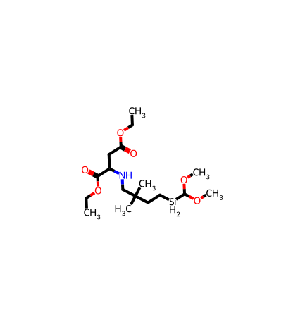 CCOC(=O)CC(NCC(C)(C)CC[SiH2]C(OC)OC)C(=O)OCC